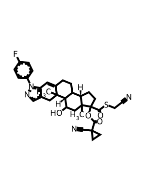 CC12Cc3cnn(-c4ccc(F)cc4)c3C=C1CCC1[C@@H]2C(O)CC2(C)[C@H]1CCC2(OC(=O)C1(C#N)CC1)C(=O)SCC#N